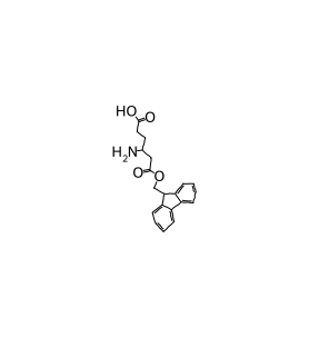 NC(CCC(=O)O)CC(=O)OCC1c2ccccc2-c2ccccc21